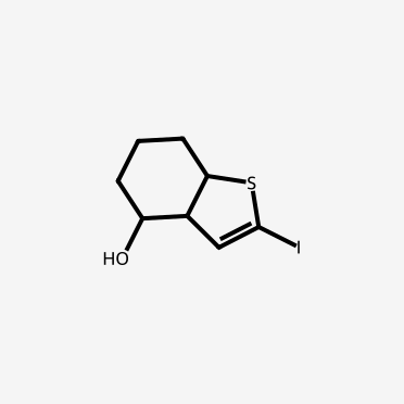 OC1CCCC2SC(I)=CC12